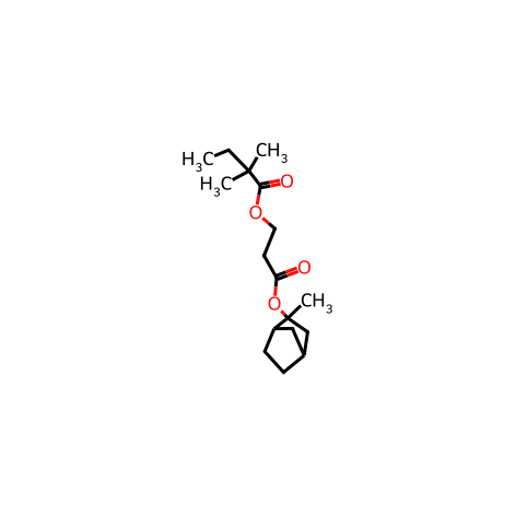 CCC(C)(C)C(=O)OCCC(=O)OC1(C)CC2CCC1C2